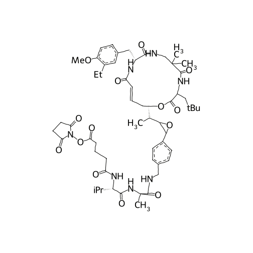 CCc1cc(C[C@H]2NC(=O)/C=C/C[C@@H](C(C)C3OC3c3ccc(CNC(=O)C(C)NC(=O)[C@@H](NC(=O)CCCC(=O)ON4C(=O)CCC4=O)C(C)C)cc3)OC(=O)C(CC(C)(C)C)NC(=O)C(C)(C)CNC2=O)ccc1OC